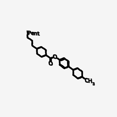 CCCC(C)CCCC1CCC(C(=O)Oc2ccc(C3CCC(C)CC3)cc2)CC1